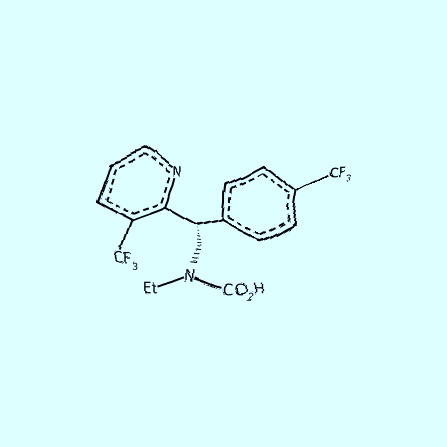 CCN(C(=O)O)[C@@H](c1ccc(C(F)(F)F)cc1)c1ncccc1C(F)(F)F